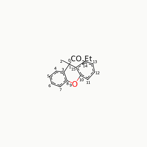 CCOC(=O)C1(C)c2ccccc2Oc2ccccc21